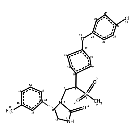 CS(=O)(=O)C(CN1C(=O)NC[C@@H]1c1cccc(C(F)(F)F)c1)c1ccc(Oc2ccc(Cl)cc2)cc1